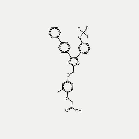 Cc1cc(OCc2nc(-c3ccc(-c4ccccc4)cc3)c(-c3cccc(OC(F)(F)F)c3)s2)ccc1OCC(=O)O